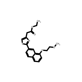 CCOC(=O)Cc1csc(-c2ccc3cccc(OCCOC)c3c2)n1